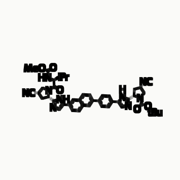 [C-]#[N+][C@H]1C[C@@H](c2ncc(-c3ccc(-c4ccc5cc(-c6cnc([C@@H]7C[C@H](C#N)CN7C(=O)[C@@H](NC(=O)OC)C(C)C)[nH]6)ccc5c4)cc3)[nH]2)N(C(=O)OC(C)(C)C)C1